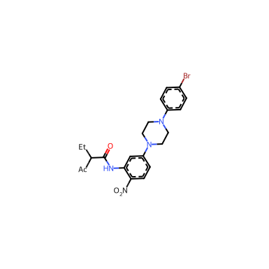 CCC(C(C)=O)C(=O)Nc1cc(N2CCN(c3ccc(Br)cc3)CC2)ccc1[N+](=O)[O-]